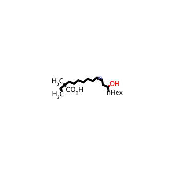 C=CC(C)(CCCCCC/C=C\CC(O)CCCCCC)C(=O)O